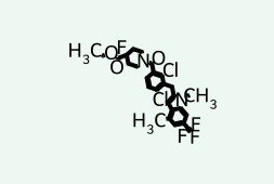 CCOC(=O)C1(F)CCN(C(=O)c2ccc(Cl)c(Cc3cc4c(C)cc(C(F)(F)F)cc4n3C)c2Cl)CC1